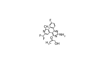 Cc1cc(-c2c(O[C@@H](C)CO)nc(N)nc2-c2ccc(F)cc2)cc(C(F)F)n1